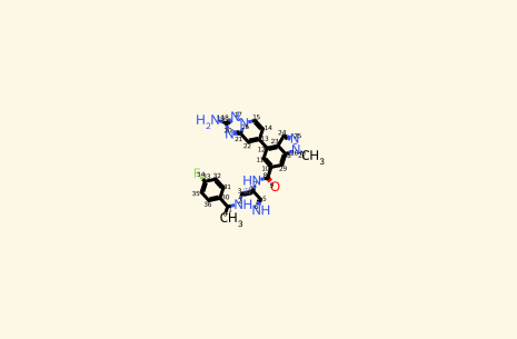 CC(N/C=C(\C=N)NC(=O)c1cc(-c2ccn3nc(N)nc3c2)c2cnn(C)c2c1)c1ccc(F)cc1